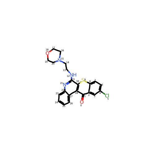 O=c1c2cc(Cl)ccc2sc2c(NCCN3CCOCC3)nc3ccccc3c12